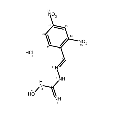 Cl.N=C(NO)N/N=C/c1ccc([N+](=O)[O-])cc1[N+](=O)[O-]